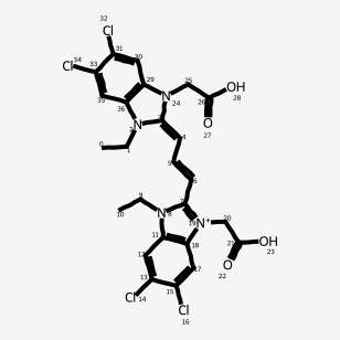 CCN1C(=CC=Cc2n(CC)c3cc(Cl)c(Cl)cc3[n+]2CC(=O)O)N(CC(=O)O)c2cc(Cl)c(Cl)cc21